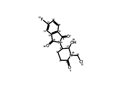 O=C1CCC(N2C(=O)c3ccc(F)cc3C2=O)C(O)N1CCl